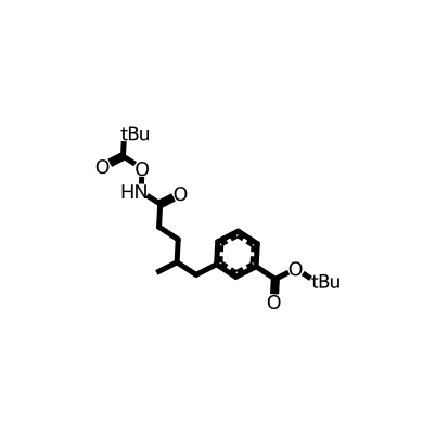 CC(CCC(=O)NOC(=O)C(C)(C)C)Cc1cccc(C(=O)OC(C)(C)C)c1